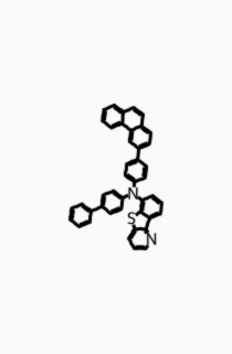 c1ccc(-c2ccc(N(c3ccc(-c4ccc5ccc6ccccc6c5c4)cc3)c3cccc4c3sc3cccnc34)cc2)cc1